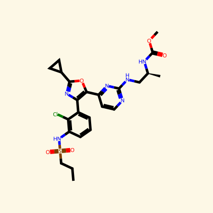 CCCS(=O)(=O)Nc1cccc(-c2nc(C3CC3)oc2-c2ccnc(NC[C@H](C)NC(=O)OC)n2)c1Cl